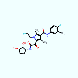 Cc1cc(NC(=O)c2c(C)c(C(=O)C(=O)N[C@@H]3CC[C@@H](O)[C@@H]3O)n(CCF)c2C)ccc1F